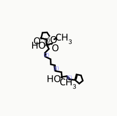 COC(=O)[C@@](O)(C/C=C\CC/C=C/CC(C)(O)/C=C/C1=CCCC1)[C@H]1CCCC1=O